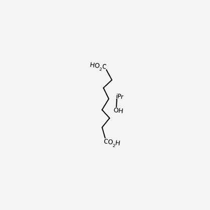 CC(C)O.O=C(O)CCCCCCC(=O)O